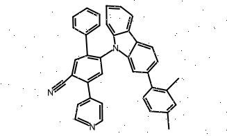 Cc1ccc(-c2ccc3c4ccccc4n(-c4cc(-c5ccncc5)c(C#N)cc4-c4ccccc4)c3c2)c(C)c1